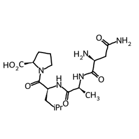 CC(C)C[C@H](NC(=O)[C@H](C)NC(=O)[C@@H](N)CC(N)=O)C(=O)N1CCC[C@@H]1C(=O)O